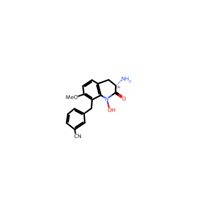 COc1ccc2c(c1Cc1cccc(C#N)c1)N(O)C(=O)[C@@H](N)C2